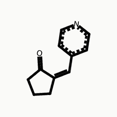 O=C1CCCC1=Cc1ccncc1